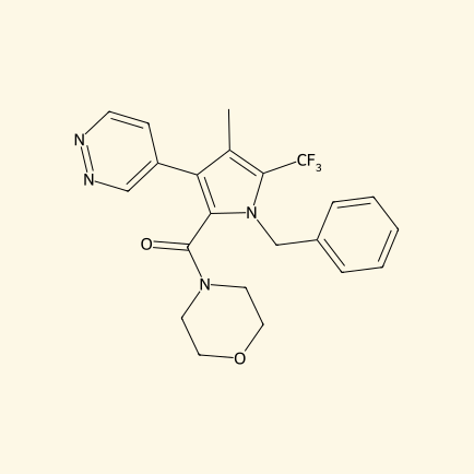 Cc1c(-c2ccnnc2)c(C(=O)N2CCOCC2)n(Cc2ccccc2)c1C(F)(F)F